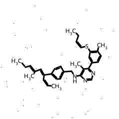 C\C=C/C(=C\C(C)=C\CC)c1ccc(CNc2ncnc(-c3ccc(C)c(S/C=C\CC)c3)c2C)cc1